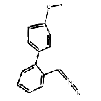 COc1ccc(-c2ccccc2C=[N+]=[N-])cc1